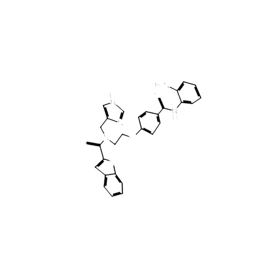 Nc1ccccc1NC(=O)c1ccc(OCCN(Cc2c[nH]cn2)C(=O)c2cc3ccccc3o2)cc1